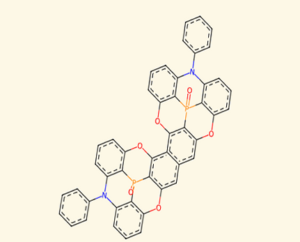 O=P12c3c4cccc3N(c3ccccc3)c3cccc(c31)Oc1c2c(cc2cc3c5c(c12)Oc1cccc2c1P5(=O)c1c(cccc1N2c1ccccc1)O3)O4